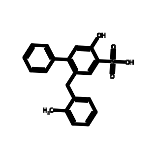 Cc1ccccc1Cc1cc(S(=O)(=O)O)c(O)cc1-c1ccccc1